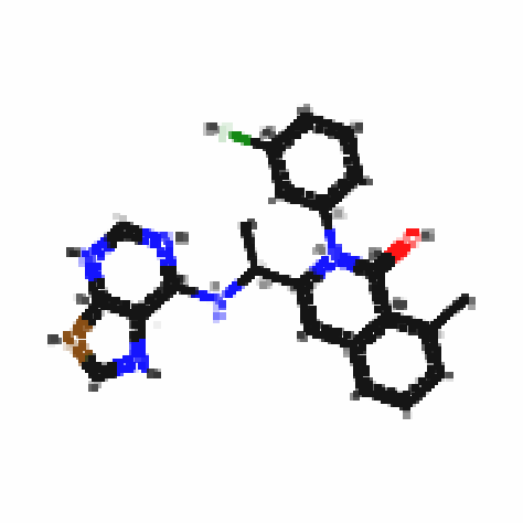 Cc1cccc2cc([C@H](C)Nc3ncnc4scnc34)n(-c3cccc(F)c3)c(=O)c12